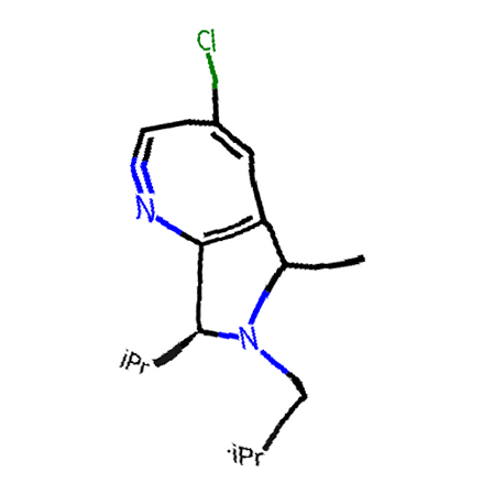 C[C](C)CN1C(C)c2cc(Cl)cnc2[C@@H]1C(C)C